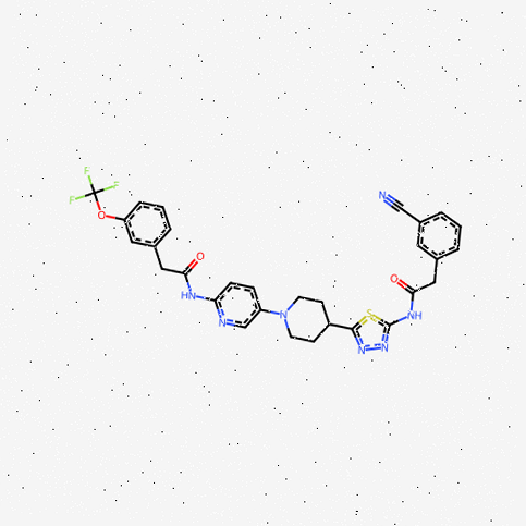 N#Cc1cccc(CC(=O)Nc2nnc(C3CCN(c4ccc(NC(=O)Cc5cccc(OC(F)(F)F)c5)nc4)CC3)s2)c1